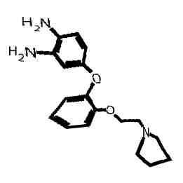 Nc1ccc(Oc2ccccc2OCCN2CCCC2)cc1N